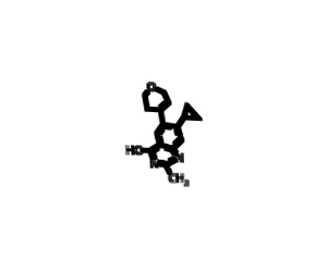 Cc1nc(O)c2cc(C3=CCOCC3)c(C3CC3)cc2n1